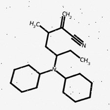 C=C(C#N)C(C)CC(CC)N(C1CCCCC1)C1CCCCC1